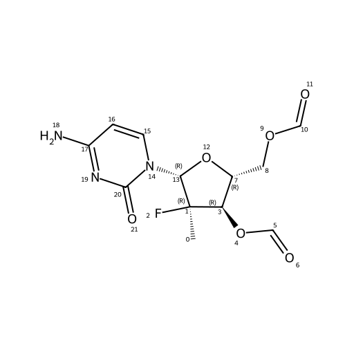 C[C@@]1(F)[C@H](OC=O)[C@@H](COC=O)O[C@H]1n1ccc(N)nc1=O